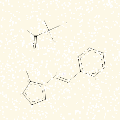 O=C(O)C(F)(F)F.O=C(O)c1cccn1/C=C/c1ccccc1